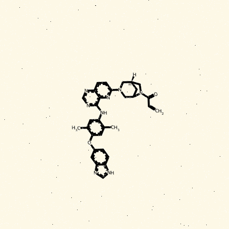 C=CC(=O)N1C[C@@H]2CC1CN(c1ccc3ncnc(Nc4cc(C)c(Oc5ccc6[nH]cnc6c5)cc4C)c3n1)C2